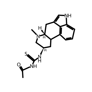 CC(=O)NC(=S)N[C@@H]1CC2c3cccc4[nH]cc(c34)C[C@H]2N(C)C1